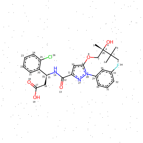 CC(C)(C)[C@@](C)(O)COc1cc(C(=O)N[C@@H](CC(=O)O)c2ccccc2Cl)nn1-c1cccc(F)c1